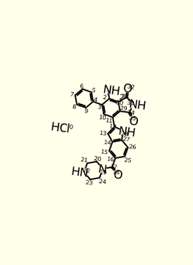 Cl.Nc1c(-c2ccccc2)cc(-c2cc3cc(C(=O)N4CCNCC4)ccc3[nH]2)c2c1C(=O)NC2=O